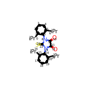 CC(C)c1cccc(C(C)C)c1N1C(=O)C(=O)N(c2c(C(C)C)cccc2C(C)C)C1=S